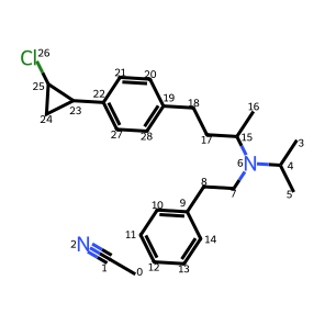 CC#N.CC(C)N(CCc1ccccc1)C(C)CCc1ccc(C2CC2Cl)cc1